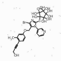 Cc1cc(OCc2c(Br)nc(SC3(O)C(O)(O)C(O)(O)C(O)(O)C3(O)O)n2-c2cccnc2)ccc1C#CCO